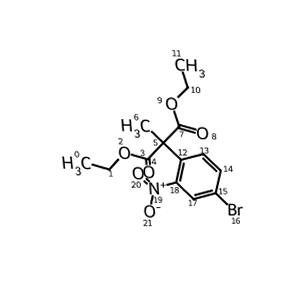 CCOC(=O)C(C)(C(=O)OCC)c1ccc(Br)cc1[N+](=O)[O-]